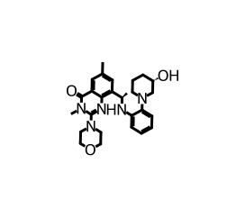 Cc1cc([C@@H](C)Nc2ccccc2N2CCC[C@H](O)C2)c2nc(N3CCOCC3)n(C)c(=O)c2c1